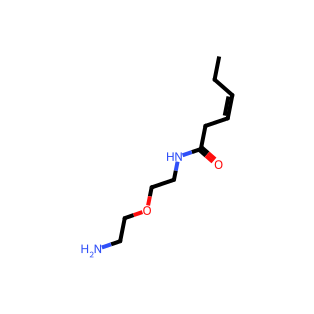 CC/C=C\CC(=O)NCCOCCN